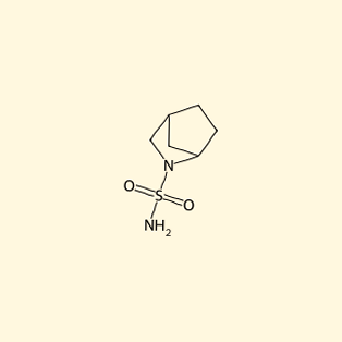 NS(=O)(=O)N1CC2CCC1C2